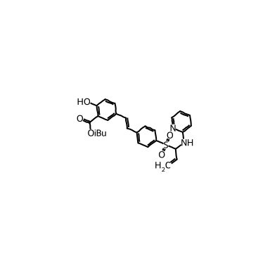 C=CC(Nc1ccccn1)S(=O)(=O)c1ccc(C=Cc2ccc(O)c(C(=O)OCC(C)C)c2)cc1